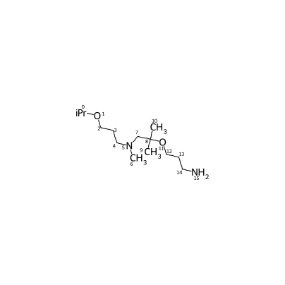 CC(C)OCCCN(C)CC(C)(C)OCCCN